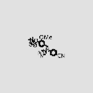 COc1cc(CN(c2ccc(C#N)cc2)n2cnnc2)ccc1OS(=O)(=O)N(C)C